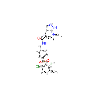 C=Nc1[nH]ncc1/C=C(\C)C(=O)NCc1ccc(S(=O)(=O)c2c(Cl)ccc(C)c2F)cc1